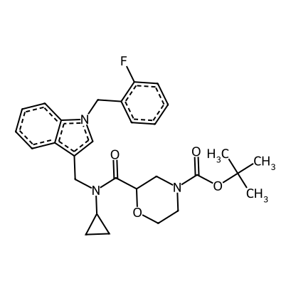 CC(C)(C)OC(=O)N1CCOC(C(=O)N(Cc2cn(Cc3ccccc3F)c3ccccc23)C2CC2)C1